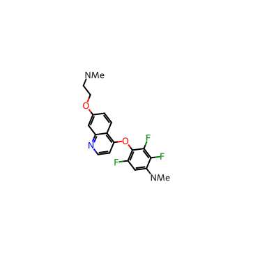 CNCCOc1ccc2c(Oc3c(F)cc(NC)c(F)c3F)ccnc2c1